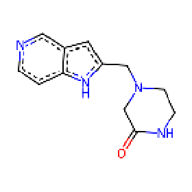 O=C1CN(Cc2cc3cnccc3[nH]2)CCN1